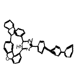 c1ccc(-c2ccc(-c3ccc(C4=NC(c5ccccc5)NC(c5cccc6oc7ccc(-c8ccc9ccccc9c8)cc7c56)=N4)cc3)cc2)cc1